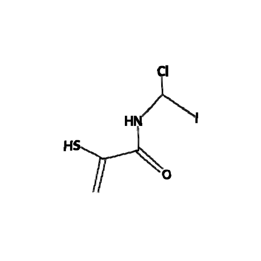 C=C(S)C(=O)NC(Cl)I